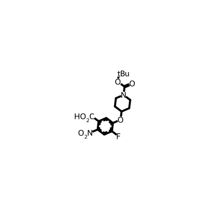 CC(C)(C)OC(=O)N1CCC(Oc2cc(C(=O)O)c([N+](=O)[O-])cc2F)CC1